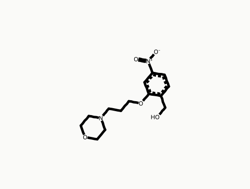 O=[N+]([O-])c1ccc(CO)c(OCCCN2CCOCC2)c1